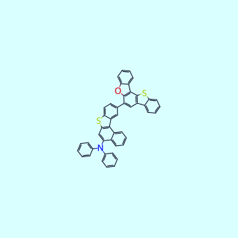 c1ccc(N(c2ccccc2)c2cc3sc4ccc(-c5cc6c7ccccc7sc6c6c5oc5ccccc56)cc4c3c3ccccc23)cc1